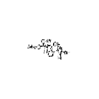 COC(=O)N[C@@H](C(C)C)C(O)N1CCC[C@H]1c1ncc(Br)[nH]1